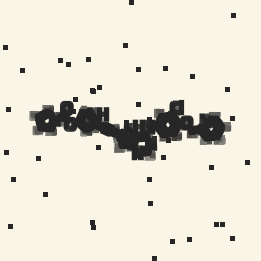 O=C(OC1CNC(C#Cc2cc3ncnc(Nc4ccc(OCc5ccccn5)c(Cl)c4)c3s2)C1)N1CCCC1